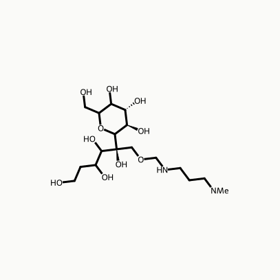 CNCCCNCOC[C@](O)(C(O)C(O)CCO)C1OC(CO)C(O)[C@H](O)[C@H]1O